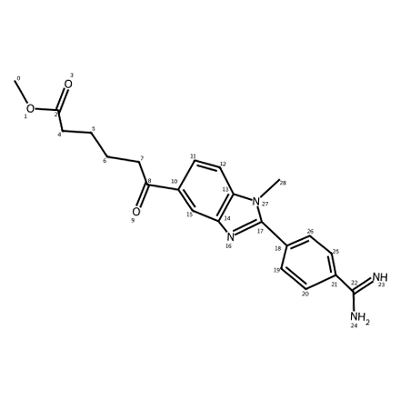 COC(=O)CCCCC(=O)c1ccc2c(c1)nc(-c1ccc(C(=N)N)cc1)n2C